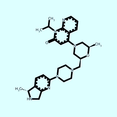 CC(C)n1c(=O)cc(N2C[C@H](CN3CCN(c4ccc5c(n4)CN[C@@H]5C)CC3)O[C@H](C)C2)c2cccnc21